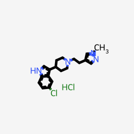 Cl.Cn1cc(CCN2CCC(c3c[nH]c4ccc(Cl)cc34)CC2)cn1